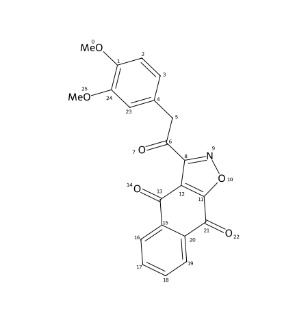 COc1ccc(CC(=O)c2noc3c2C(=O)c2ccccc2C3=O)cc1OC